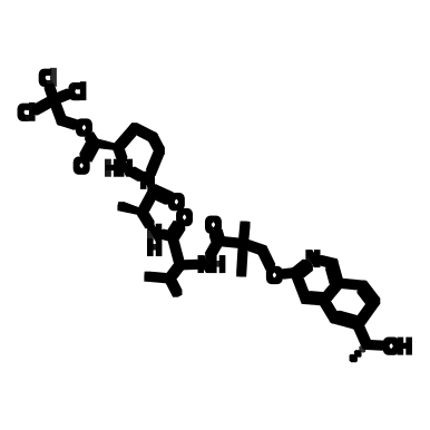 CC(C)C(NC(=O)C(C)(C)COc1cc2cc([C@@H](C)O)ccc2cn1)C(=O)N[C@@H](C)C(=O)N1CCC[C@H](C(=O)OCC(Cl)(Cl)Cl)N1